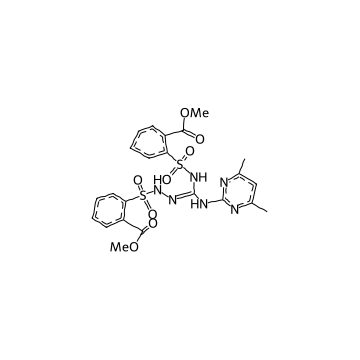 COC(=O)c1ccccc1S(=O)(=O)NN=C(Nc1nc(C)cc(C)n1)NS(=O)(=O)c1ccccc1C(=O)OC